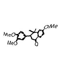 COc1ccc2c(c1)C(C)(C)C(c1ccc(OC)c(OC)c1)CC2=O